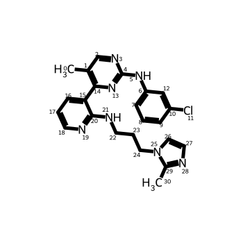 Cc1cnc(Nc2cccc(Cl)c2)nc1-c1cccnc1NCCCn1ccnc1C